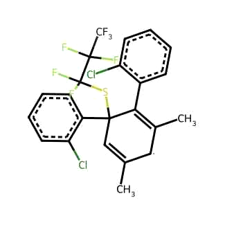 CC1=CC(SC(F)(F)C(F)(F)C(F)(F)F)(c2ccccc2Cl)C(c2ccccc2Cl)=C(C)[CH]1